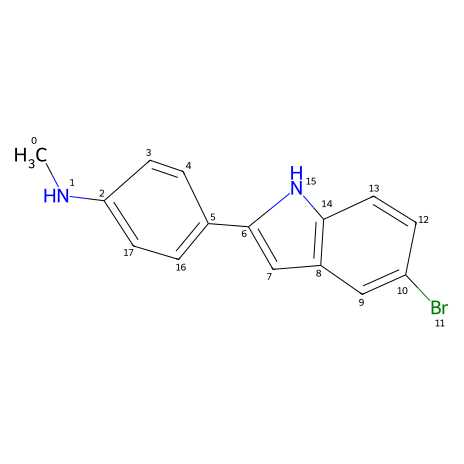 CNc1ccc(-c2cc3cc(Br)ccc3[nH]2)cc1